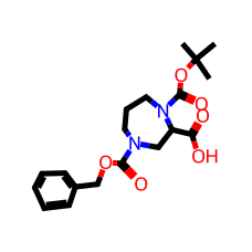 CC(C)(C)OC(=O)N1CCCN(C(=O)OCc2ccccc2)CC1C(=O)O